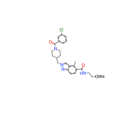 COCCNC(=O)c1ccc2nn(CC3CCN(C(=O)c4cccc(Cl)c4)CC3)cc2c1C